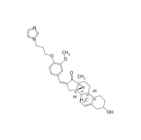 COc1cc(C=C2C[C@H]3[C@@H]4CC=C5CC(O)CC[C@]5(C)[C@@H]4CC[C@]3(C)C2=O)ccc1OCCCn1ccnc1